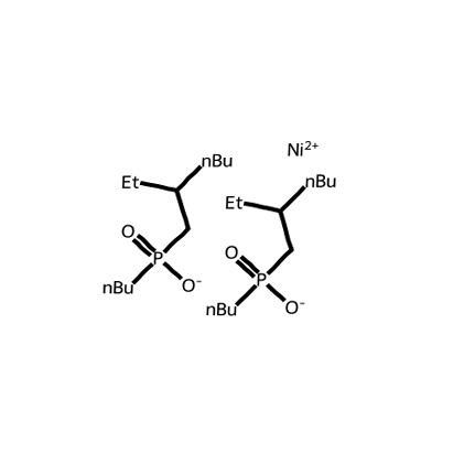 CCCCC(CC)CP(=O)([O-])CCCC.CCCCC(CC)CP(=O)([O-])CCCC.[Ni+2]